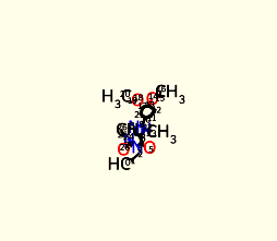 C#CCn1c(=O)c2c(nc(-c3ccc(OCC)c(OCC)c3)n2C)n(CC)c1=O